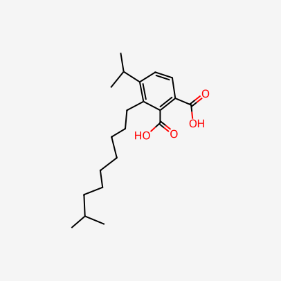 CC(C)CCCCCCCc1c(C(C)C)ccc(C(=O)O)c1C(=O)O